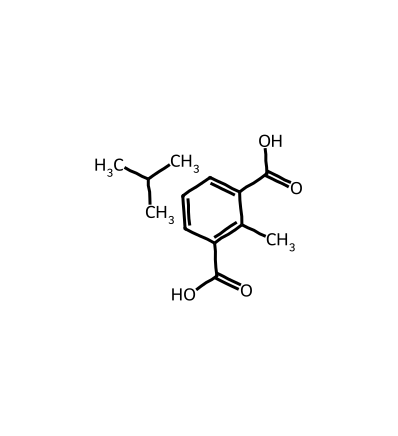 CC(C)C.Cc1c(C(=O)O)cccc1C(=O)O